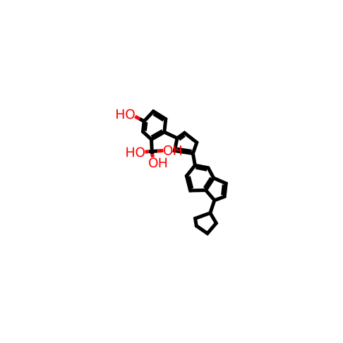 Oc1ccc(C2=CCC(c3ccc4c(c3)C=CC4C3CCCC3)=C2)c(C(O)(O)O)c1